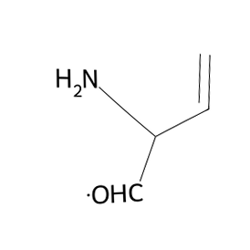 C=CC(N)[C]=O